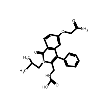 CC(C)Cn1c(CNC(=O)O)c(-c2ccccc2)c2cc(OCC(N)=O)ccc2c1=O